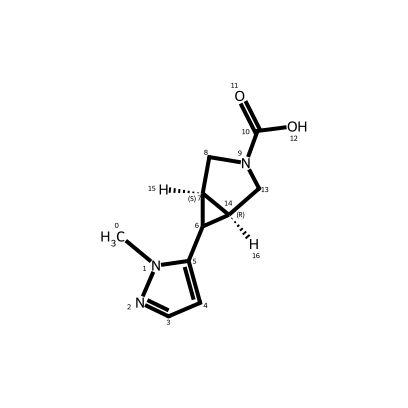 Cn1nccc1C1[C@H]2CN(C(=O)O)C[C@@H]12